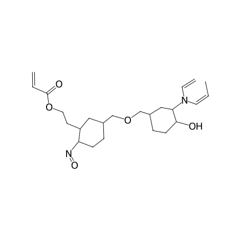 C=CC(=O)OCCC1CC(COCC2CCC(O)C(N(C=C)/C=C\C)C2)CCC1N=O